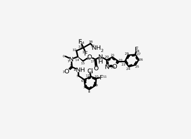 CN(C(=O)NCc1cccc(F)c1Cl)[C@H](COC(=O)Nc1cc(-c2cccc(F)c2)on1)CC(F)(F)CN